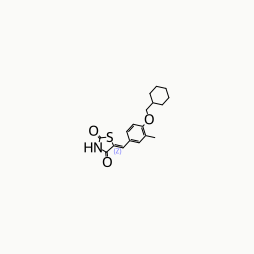 Cc1cc(/C=C2\SC(=O)NC2=O)ccc1OCC1CCCCC1